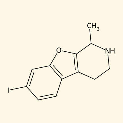 CC1NCCc2c1oc1cc(I)ccc21